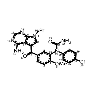 COc1ccc(C(=O)c2cn(C(C)C)c3ncnc(N)c23)cc1N(C(N)=O)c1ccc(Cl)cc1